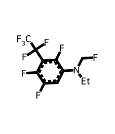 CCN(CF)c1cc(F)c(F)c(C(F)(F)C(F)(F)F)c1F